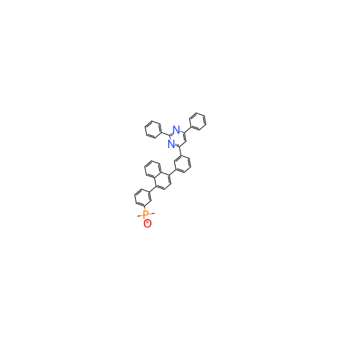 CP(C)(=O)c1cccc(-c2ccc(-c3cccc(-c4cc(-c5ccccc5)nc(-c5ccccc5)n4)c3)c3ccccc23)c1